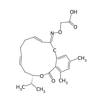 Cc1cc(C)c2c(c1)CC(=NOCC(=O)O)/C=C/CC/C=C/C[C@@H](C(C)C)OC2=O